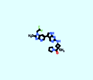 Cc1nc2ncc(-c3c[nH]c4nc(N[C@H]5C[C@](C)(C(=O)N6CCCC6)C5)ncc34)cc2n1CC(F)F